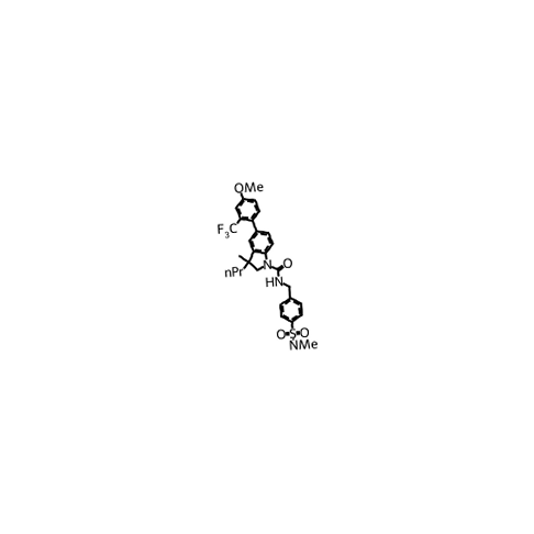 CCCC1(C)CN(C(=O)NCc2ccc(S(=O)(=O)NC)cc2)c2ccc(-c3ccc(OC)cc3C(F)(F)F)cc21